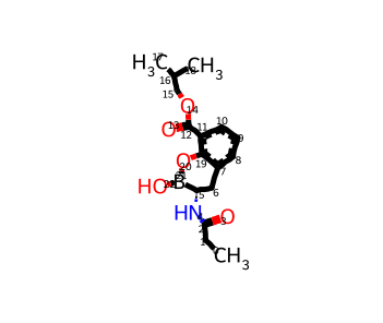 CCC(=O)N[C@H]1Cc2cccc(C(=O)OCC(C)C)c2OB1O